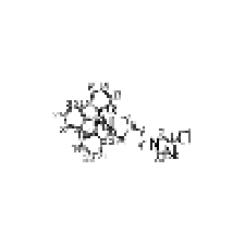 Clc1cn(CCC2CCN(C(c3ccccc3)(c3ccccc3)c3ccccc3)CC2)cn1